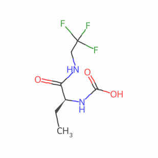 CC[C@H](NC(=O)O)C(=O)NCC(F)(F)F